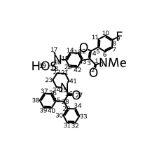 CNC(=O)c1c(-c2ccc(F)cc2)oc2cc(N(C)SO)c([C@H]3CCCN(C(=O)C(c4ccccc4)c4ccccc4)C3)cc12